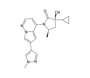 C[C@@H]1C[C@@](C#N)(C2CC2)C(=O)N1c1ccnn2cc(-c3cnn(C)c3)cc12